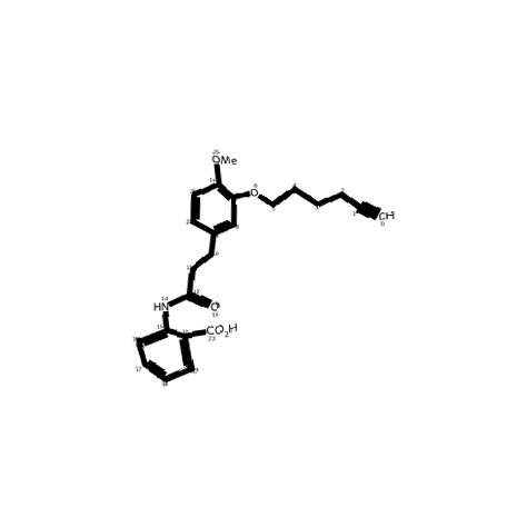 C#CCCCCOc1cc(CCC(=O)Nc2ccccc2C(=O)O)ccc1OC